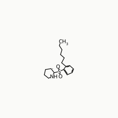 CCCCCCc1ccccc1S(=O)(=O)C1[CH]CCCN1